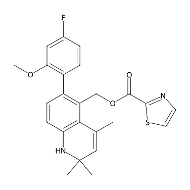 COc1cc(F)ccc1-c1ccc2c(c1COC(=O)c1nccs1)C(C)=CC(C)(C)N2